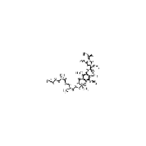 Cc1c(C)c2c(c(C)c1OC(=O)C(C)(COC(=O)C(C)C)COC(C)C)CC[C@@](C)(CCC[C@H](C)CCC[C@H](C)CCCC(C)C)O2